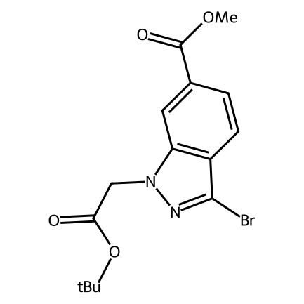 COC(=O)c1ccc2c(Br)nn(CC(=O)OC(C)(C)C)c2c1